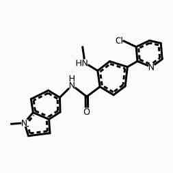 CNc1cc(-c2ncccc2Cl)ccc1C(=O)Nc1ccc2c(ccn2C)c1